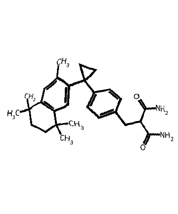 Cc1cc2c(cc1C1(c3ccc(CC(C(N)=O)C(N)=O)cc3)CC1)C(C)(C)CCC2(C)C